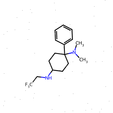 CN(C)C1(c2ccccc2)CCC(NCC(F)(F)F)CC1